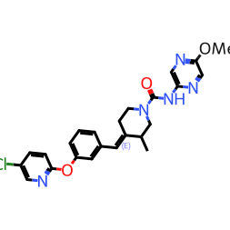 COc1cnc(NC(=O)N2CC/C(=C\c3cccc(Oc4ccc(Cl)cn4)c3)C(C)C2)cn1